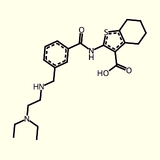 CCN(CC)CCNCc1cccc(C(=O)Nc2sc3c(c2C(=O)O)CCCC3)c1